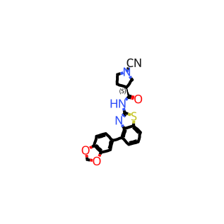 N#CN1CC[C@H](C(=O)Nc2nc3c(-c4ccc5c(c4)OCO5)cccc3s2)C1